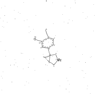 Cc1ccc(C23CNCC2C3)cc1Cl